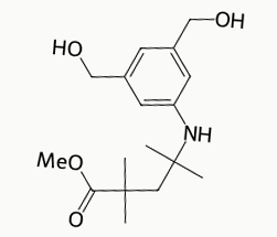 COC(=O)C(C)(C)CC(C)(C)Nc1cc(CO)cc(CO)c1